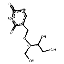 O=c1[nH]cc(CO[C@H](CO)C(O)CO)c(=O)[nH]1